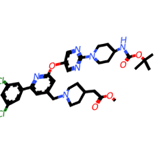 COC(=O)CC1CCN(Cc2cc(Oc3cnc(N4CCC(NC(=O)OC(C)(C)C)CC4)nc3)nc(-c3cc(Cl)cc(Cl)c3)c2)CC1